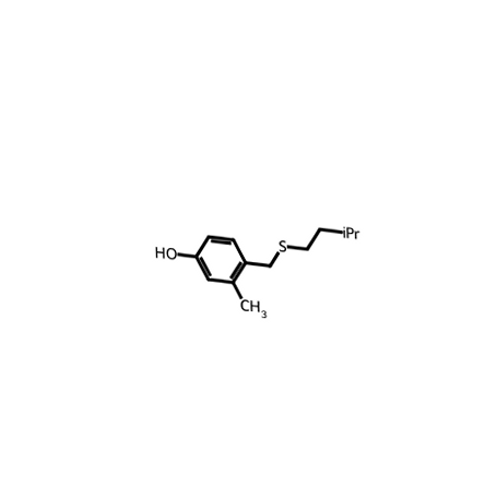 Cc1cc(O)ccc1CSCCC(C)C